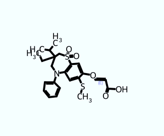 CCC1(C(C)C)CN(c2ccccc2)c2cc(SC)c(O/C=C/C(=O)O)cc2S(=O)(=O)C1